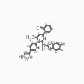 CC1=CC(c2ccccc2Cl)N=C(Nc2nc3ccc(F)cc3o2)N1c1ccc(-c2nn[nH]n2)cn1